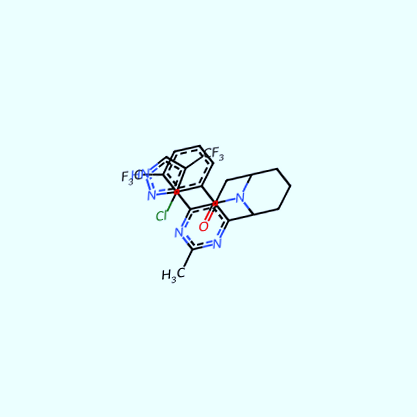 Cc1nc(-c2n[nH]cc2C(F)(F)F)c2c(n1)C1CCCC(C2)N1C(=O)c1cccc(C(F)(F)F)c1Cl